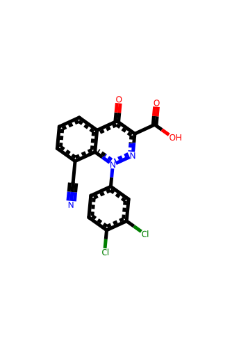 N#Cc1cccc2c(=O)c(C(=O)O)nn(-c3ccc(Cl)c(Cl)c3)c12